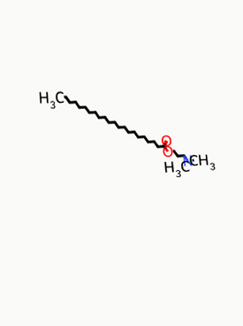 CCCCCCCCCCCCCCCCCCCCCC(=O)OCCCN(C)C